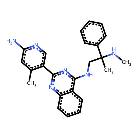 CNC(C)(CNc1nc(-c2cnc(N)cc2C)nc2ccccc12)c1ccccc1